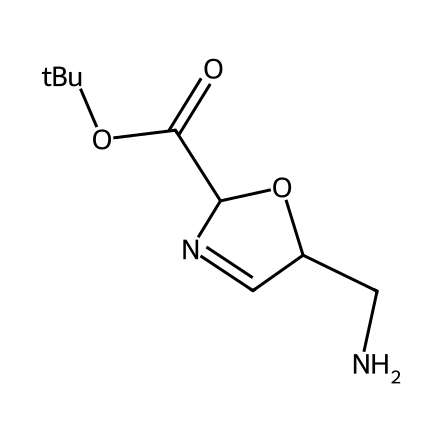 CC(C)(C)OC(=O)C1N=CC(CN)O1